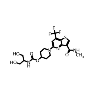 CNC(=O)c1csc2c(C(F)(F)F)cc(N3CCC(OC(=O)NC(CO)CO)CC3)nc12